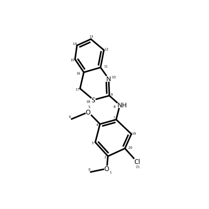 COc1cc(OC)c(NC2=Nc3ccccc3CS2)cc1Cl